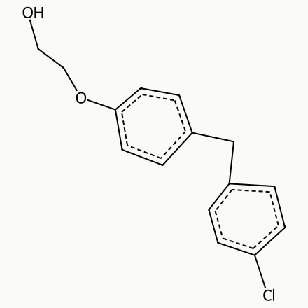 OCCOc1ccc(Cc2ccc(Cl)cc2)cc1